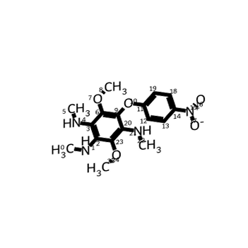 CNc1c(NC)c(OC)c(Oc2ccc([N+](=O)[O-])cc2)c(NC)c1OC